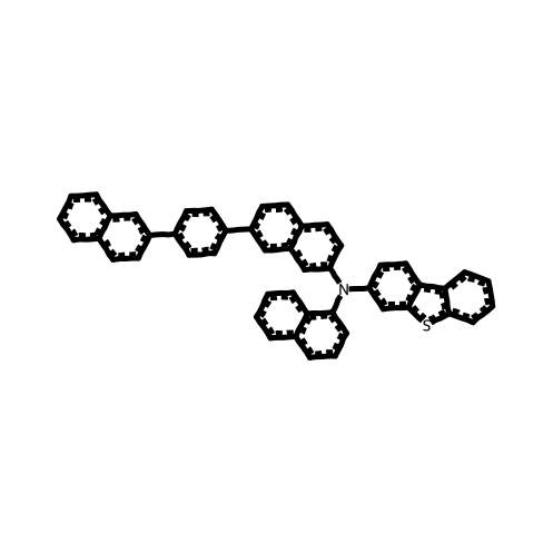 c1ccc2cc(-c3ccc(-c4ccc5ccc(N(c6ccc7c(c6)sc6ccccc67)c6cccc7ccccc67)cc5c4)cc3)ccc2c1